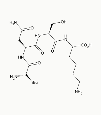 CC[C@H](C)[C@H](N)C(=O)N[C@@H](CC(N)=O)C(=O)N[C@@H](CO)C(=O)N[C@@H](CCCCN)C(=O)O